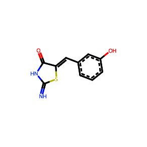 N=C1NC(=O)/C(=C/c2cccc(O)c2)S1